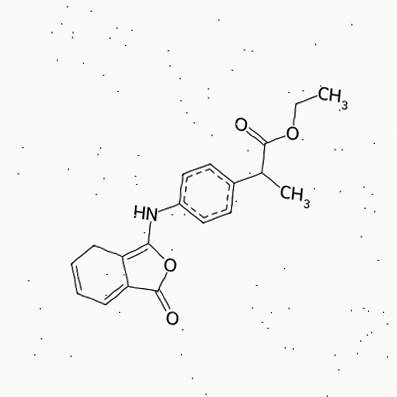 CCOC(=O)C(C)c1ccc(NC2=C3CC=CC=C3C(=O)O2)cc1